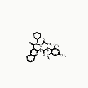 CC(=O)ON(C(=O)c1cc2ccccc2nc1NC(=O)Nc1c(C)cc(C)cc1C)C1CCCCC1